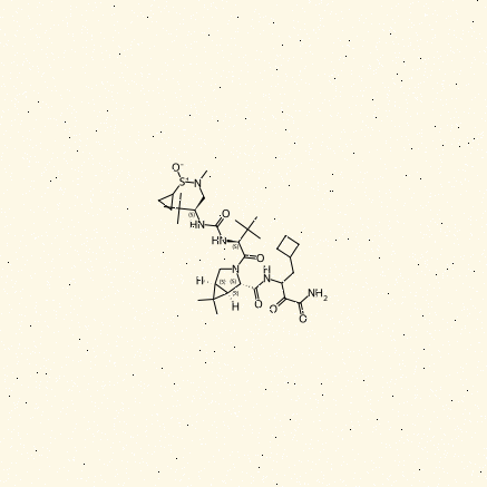 CN(C[C@@H](NC(=O)N[C@H](C(=O)N1C[C@H]2[C@@H]([C@H]1C(=O)NC(CC1CCC1)C(=O)C(N)=O)C2(C)C)C(C)(C)C)C(C)(C)C)[S+]([O-])C1CC1